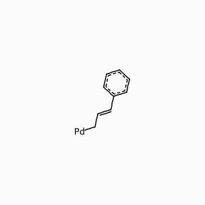 [Pd][CH2]C=Cc1ccccc1